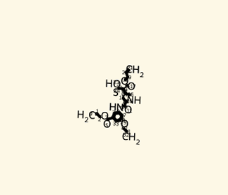 C=CCOC(=O)c1cc(NC(=O)C2C[C@@H]([C@@H](C(=O)OCC=C)C(O)=S)CN2)cc(OCC=C)c1